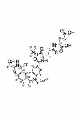 C#CCN(c1ccc(C(=O)N[C@@H](CCC(=O)NC(CCC(=O)O)C(=O)O)C(=O)O[Si](C)(C)C)cc1)[C@H]1CCc2cc3nc(CO)[nH]c(=O)c3cc21